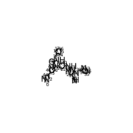 Cn1cc(-c2ccc(N(C(=O)NCc3ccccc3)C3CCC(Nc4ncc(C#N)c(NCc5ccncn5)n4)CC3)nc2)cn1